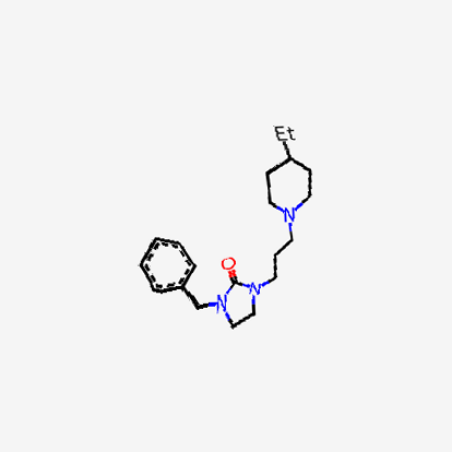 CCC1CCN(CCCN2CCN(Cc3ccccc3)C2=O)CC1